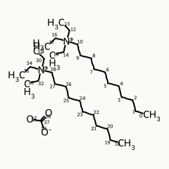 CCCCCCCCCCC[N+](CC)(CC)CC.CCCCCCCCCCC[N+](CC)(CC)CC.O=C([O-])[O-]